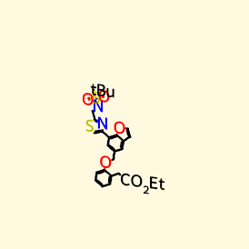 CCOC(=O)Cc1ccccc1OCc1cc(-c2csc(C=NS(=O)(=O)C(C)(C)C)n2)c2occc2c1